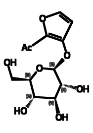 CC(=O)c1occc1O[C@@H]1O[C@H](CO)[C@@H](O)[C@H](O)[C@H]1O